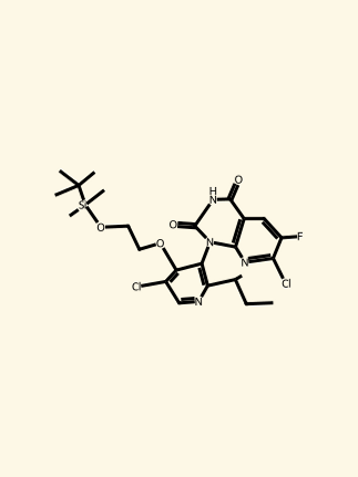 CCC(C)c1ncc(Cl)c(OCCO[Si](C)(C)C(C)(C)C)c1-n1c(=O)[nH]c(=O)c2cc(F)c(Cl)nc21